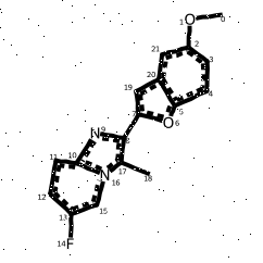 COc1ccc2oc(-c3nc4ccc(F)cn4c3C)cc2c1